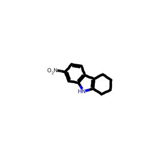 O=[N+]([O-])c1ccc2c3c([nH]c2c1)CCCC3